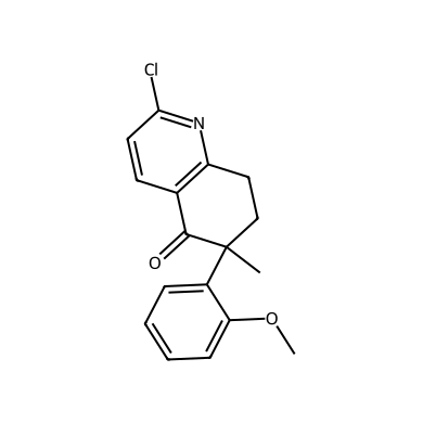 COc1ccccc1C1(C)CCc2nc(Cl)ccc2C1=O